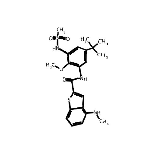 CNc1cccc2sc(C(=O)Nc3cc(C(C)(C)C)cc(NS(C)(=O)=O)c3OC)cc12